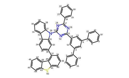 c1ccc(-c2cc(-c3ccccc3)cc(-c3nc(-c4ccccc4)nc(-n4c5ccccc5c5ccc(-c6cccc7sc8ccccc8c67)cc54)n3)c2)cc1